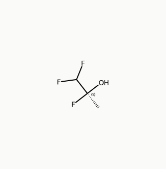 C[C@](O)(F)C(F)F